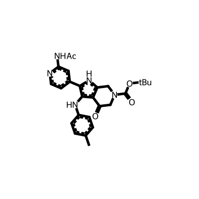 CC(=O)Nc1cc(-c2[nH]c3c(c2Nc2ccc(C)cc2)C(=O)CN(C(=O)OC(C)(C)C)C3)ccn1